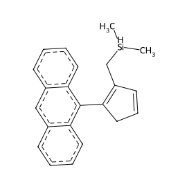 C[SiH](C)CC1=C(c2c3ccccc3cc3ccccc23)CC=C1